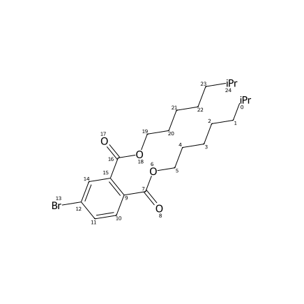 CC(C)CCCCCOC(=O)c1ccc(Br)cc1C(=O)OCCCCCC(C)C